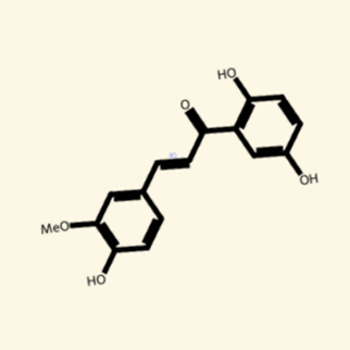 COc1cc(/C=C/C(=O)c2cc(O)ccc2O)ccc1O